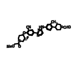 COCC(=O)N1CC[C@H](Oc2ccc(-c3nccc(Nc4ccc(C5CCN(C=O)CC5)c(C)c4)n3)cc2C#N)[C@H](F)C1